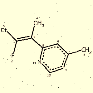 CC/C(F)=C(\C)c1cc(C)ccn1